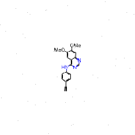 C#Cc1ccc(Nc2ncnc3cc(OC)c(OC)cc23)cc1